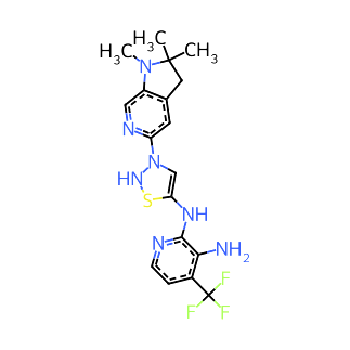 CN1c2cnc(N3C=C(Nc4nccc(C(F)(F)F)c4N)SN3)cc2CC1(C)C